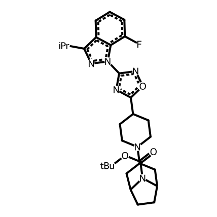 CC(C)c1nn(-c2noc(C3CCN(C4CC5CCC(C4)N5C(=O)OC(C)(C)C)CC3)n2)c2c(F)cccc12